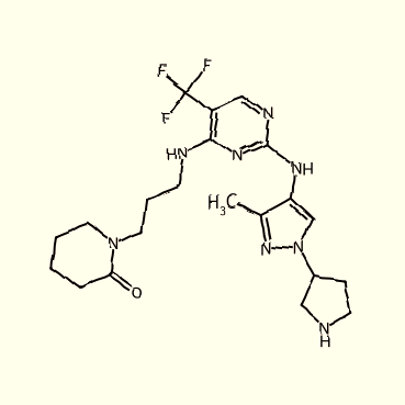 Cc1nn(C2CCNC2)cc1Nc1ncc(C(F)(F)F)c(NCCCN2CCCCC2=O)n1